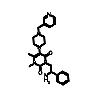 Cc1c(N2CCN(Cc3cccnc3)CC2)c(=O)n(CC(N)c2ccccc2)c(=O)n1C